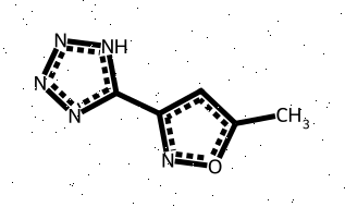 Cc1cc(-c2nnn[nH]2)no1